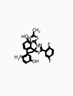 Cc1nnc(N2N=C(c3cc(F)ccc3F)SC2(CCCN)c2cc(O)ccc2-c2cccc(O)c2)s1